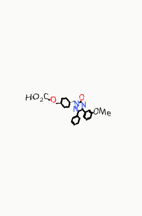 COc1cccc(-c2nc(=O)n(C[C@H]3CC[C@H](COCC(=O)O)CC3)nc2-c2ccccc2)c1